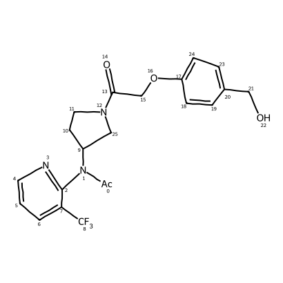 CC(=O)N(c1ncccc1C(F)(F)F)C1CCN(C(=O)COc2ccc(CO)cc2)C1